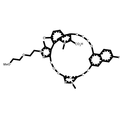 COCCOCCn1nc2c(c1C)-c1c(Cl)ccc3c(c(C(=O)O)n(C)c13)CCCOc1cc(cc3cc(F)ccc13)CCc1cc(nn1C)COC2